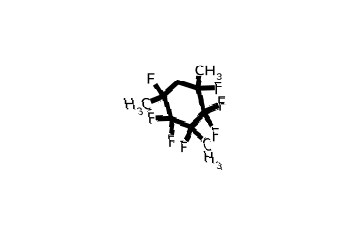 CC1(F)CC(C)(F)C(F)(F)C(C)(F)C1(F)F